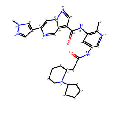 Cc1ncc(NC(=O)C[C@@H]2CCCCN2C2CCCC2)cc1NC(=O)c1cnn2cc(-c3cnn(C)c3)ncc12